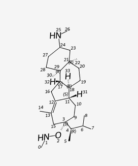 CNO[C@@]1([C@H](C)C(C)C)CC[C@@H]2C(=C(C)C1)C[C@H]1[C@H]2CC[C@]2(C)CC(NC)CC[C@]12C